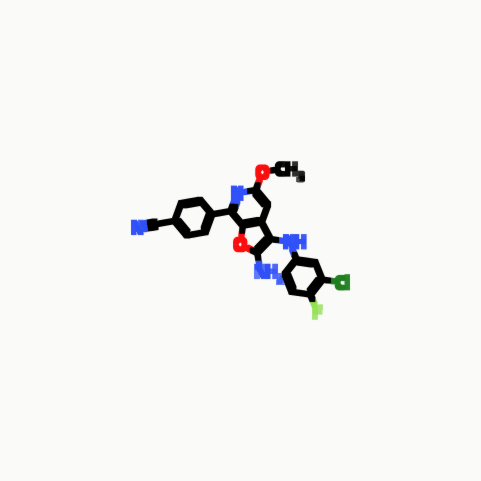 COc1cc2c(Nc3ccc(F)c(Cl)c3)c(N)oc2c(-c2ccc(C#N)cc2)n1